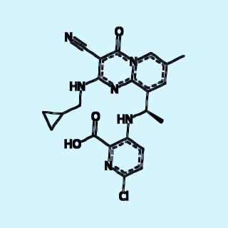 Cc1cc([C@@H](C)Nc2ccc(Cl)nc2C(=O)O)c2nc(NCC3CC3)c(C#N)c(=O)n2c1